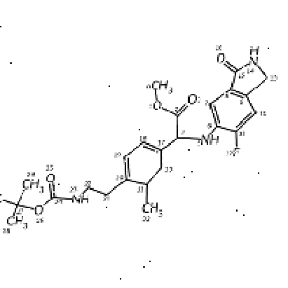 COC(=O)C(Nc1cc2c(cc1F)CNC2=O)C1=CC=C(CCNC(=O)OC(C)(C)C)C(C)C1